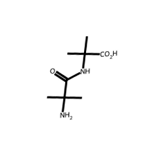 CC(C)(N)C(=O)NC(C)(C)C(=O)O